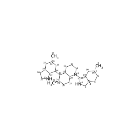 C[C@@H]1CCN2CNC(N3CCCC4C(C5C[C@@H](C)CC6CCNC65)[C@H](C)CCC43)=C2C1